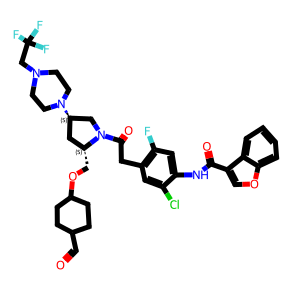 O=CC1CCC(OC[C@@H]2C[C@H](N3CCN(CC(F)(F)F)CC3)CN2C(=O)Cc2cc(Cl)c(NC(=O)c3coc4ccccc34)cc2F)CC1